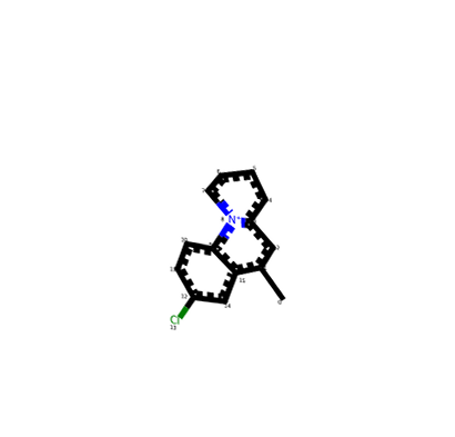 Cc1cc2cccc[n+]2c2ccc(Cl)cc12